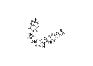 O=C(Nc1ccc(OC(F)(F)F)cc1)NC1CCN(Cc2ccn(-c3ccc(C(F)(F)F)cc3)c2)CC1